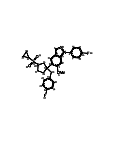 COc1cc2c(cnn2-c2ccc(F)cc2)cc1C1(Cc2ccc(F)cc2)CCN(S(=O)(=O)C2CC2)C1